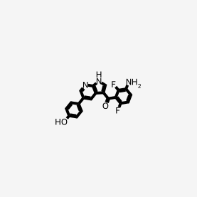 Nc1ccc(F)c(C(=O)c2c[nH]c3ncc(-c4ccc(O)cc4)cc23)c1F